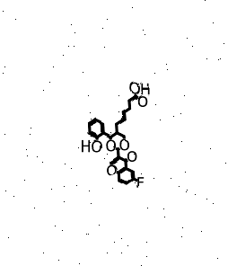 O=C(O)CCC=CCC1COC(c2coc3ccc(F)cc3c2=O)OC1c1ccccc1O